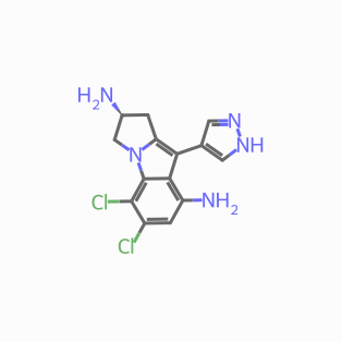 Nc1cc(Cl)c(Cl)c2c1c(-c1cn[nH]c1)c1n2C[C@@H](N)C1